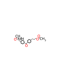 CC(=O)OCCCc1ccc(C(=O)c2ccc(C[AsH]C(C)=O)cc2)cc1